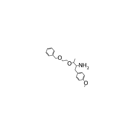 COc1ccc(CC(N)C(C)OCCOCc2ccccc2)cc1